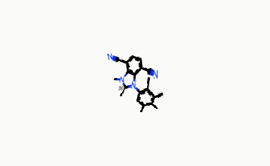 Cc1cc(N2c3c(C#N)ccc(C#N)c3N(C)[C@@H]2C)c(C)c(C)c1C